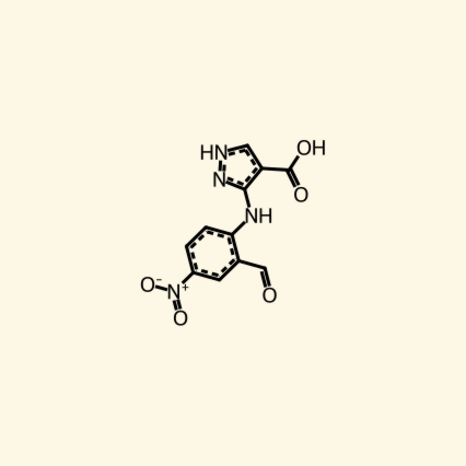 O=Cc1cc([N+](=O)[O-])ccc1Nc1n[nH]cc1C(=O)O